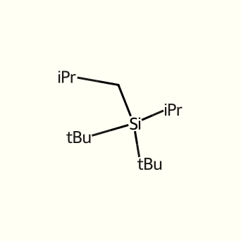 CC(C)C[Si](C(C)C)(C(C)(C)C)C(C)(C)C